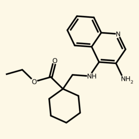 CCOC(=O)C1(CNc2c(N)cnc3ccccc23)CCCCC1